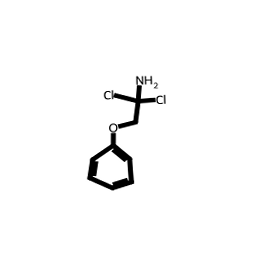 NC(Cl)(Cl)COc1ccccc1